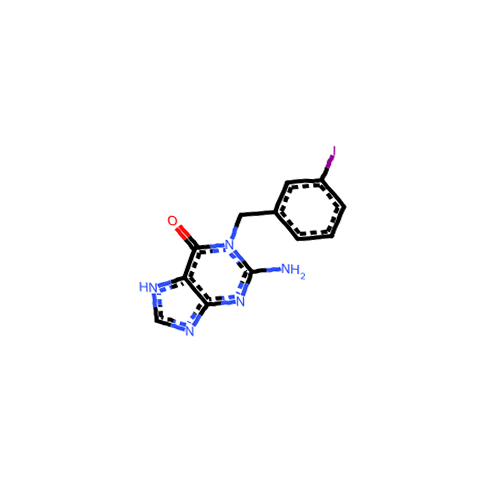 Nc1nc2nc[nH]c2c(=O)n1Cc1cccc(I)c1